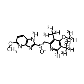 [2H]c1nc(C[S+]([O-])c2nc3nc(OC)ccc3n2[2H])c(C([2H])([2H])[2H])c(OC([2H])([2H])[2H])c1C([2H])([2H])[2H]